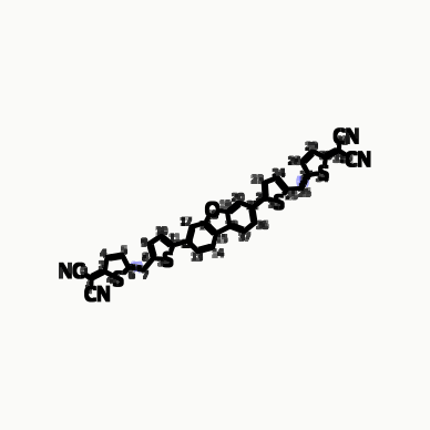 N#CC(C#N)=c1cc/c(=C\c2ccc(-c3ccc4c(c3)oc3cc(-c5ccc(/C=c6\ccc(=C(C#N)C#N)s6)s5)ccc34)s2)s1